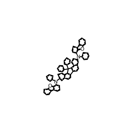 c1ccc(N(c2ccc3c4c(ccc3c2)-c2ccc3cc(N(c5ccccc5)c5cccc6c5oc5ccccc56)ccc3c2C4(c2ccccc2)c2ccccc2)c2cccc3c2oc2ccccc23)cc1